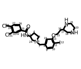 O=C(NC1CCN(Cc2ccc(I)c(OCCC3CNCCN3)c2)C1)c1ccc(Cl)c(Cl)c1